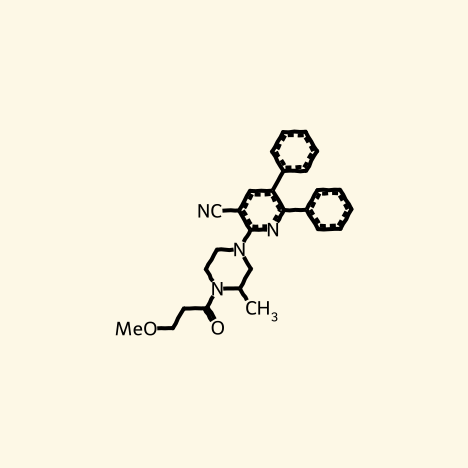 COCCC(=O)N1CCN(c2nc(-c3ccccc3)c(-c3ccccc3)cc2C#N)CC1C